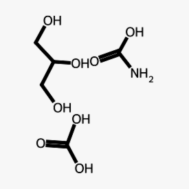 NC(=O)O.O=C(O)O.OCC(O)CO